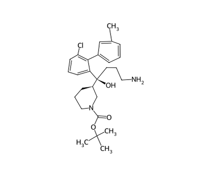 Cc1cccc(-c2c(Cl)cccc2[C@](O)(CCCN)[C@@H]2CCCN(C(=O)OC(C)(C)C)C2)c1